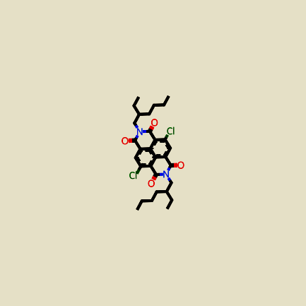 CCCCC(CC)CN1C(=O)c2cc(Cl)c3c4c(cc(Cl)c(c24)C1=O)C(=O)N(CC(CC)CCCC)C3=O